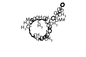 CO[C@@H]1C[C@H](C[C@@H](C)[C@@H]2CC(=O)[C@H](C)/C=C(\C)[C@@H](O)[C@@H](OC)C(=O)[C@H](C)C[C@H](C)/C=C/C=C/C=C(\C)CC[C@@H]3CC[C@@H](C)[C@@](O)(O3)C(=O)C(=O)N3CCCC[C@H]3C(=O)O2)CC[C@H]1OC(=O)C1(C)COB(c2ccccc2)OC1